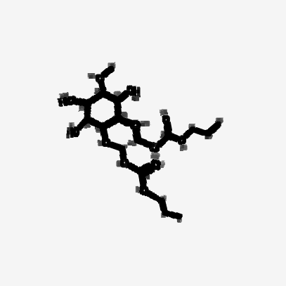 CCCOC(=O)OCOC1C(O)C(O)C(OC)C(O)C1OCOC(=O)OCCC